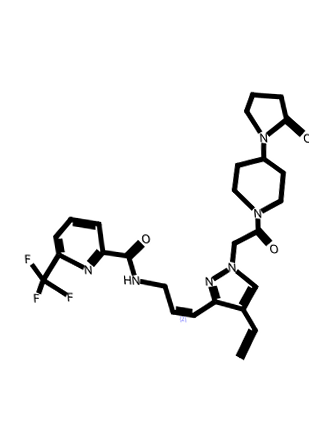 C=Cc1cn(CC(=O)N2CCC(N3CCCC3=O)CC2)nc1/C=C\CNC(=O)c1cccc(C(F)(F)F)n1